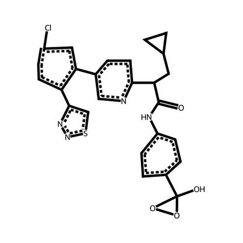 O=C(Nc1ccc(C2(O)OO2)cc1)C(CC1CC1)c1ccc(-c2cc(Cl)ccc2-c2csnn2)cn1